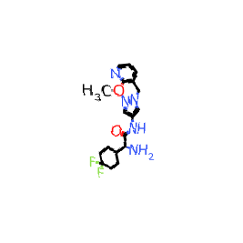 COc1ncccc1Cn1cc(NC(=O)[C@@H](N)C2CCC(F)(F)CC2)cn1